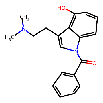 CN(C)CCc1cn(C(=O)c2ccccc2)c2cccc(O)c12